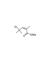 CCC(C)(C)/C=C(/C)C(=S)OC